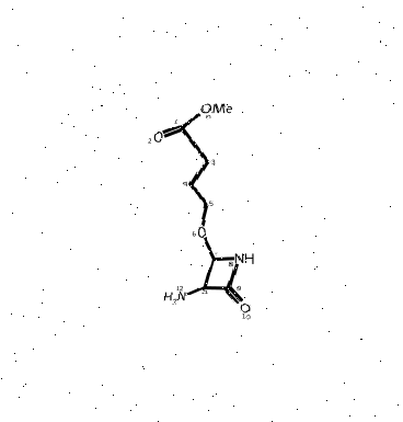 COC(=O)CCCOC1NC(=O)C1N